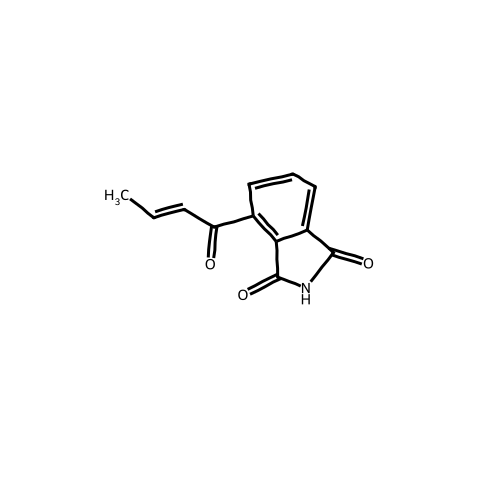 CC=CC(=O)c1cccc2c1C(=O)NC2=O